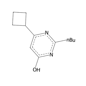 CCCCc1nc(O)cc(C2CCC2)n1